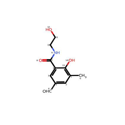 Cc1cc(C=O)cc(C(=O)NCCO)c1O